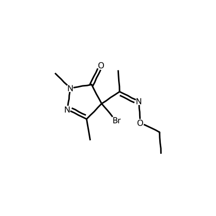 CCO/N=C(/C)C1(Br)C(=O)N(C)N=C1C